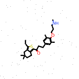 CCc1sc(C(=O)CCc2cc(C)c(OCCCNC)c(C)c2)c2c1CC(C)(C)CC2